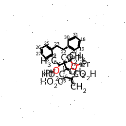 C=C(C(=O)O)C(C(=O)O)(C(C)OC(C)C)C(C)OC(C)C.C=C(CC(=O)O)C(=O)O.c1ccc(CCc2ccccc2)cc1